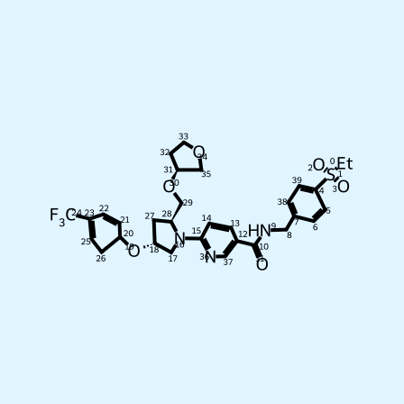 CCS(=O)(=O)c1ccc(CNC(=O)c2ccc(N3C[C@H](OC4C=CC(C(F)(F)F)=CC4)C[C@H]3CO[C@H]3CCOC3)nc2)cc1